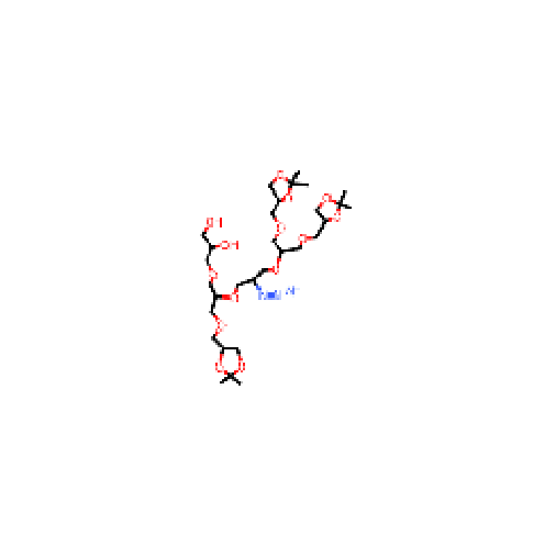 CC1(C)OCC(COCC(COCC(O)CO)OCC(COC(COCC2COC(C)(C)O2)COCC2COC(C)(C)O2)N=[N+]=[N-])O1